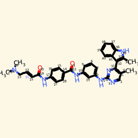 Cc1cnc(Nc2cccc(NC(=O)c3ccc(NC(=O)/C=C/CN(C)C)cc3)c2)nc1-c1c(C)[nH]c2ccccc12